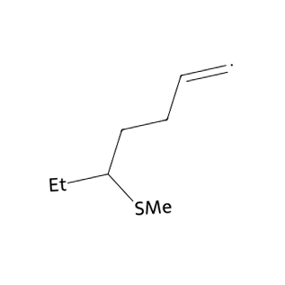 [CH]=CCCC(CC)SC